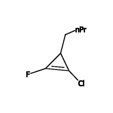 CCCCC1C(F)=C1Cl